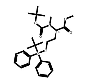 COC(=O)[C@@H](CCO[Si](c1ccccc1)(c1ccccc1)C(C)(C)C)N(C)C(=O)OC(C)(C)C